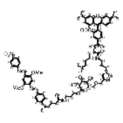 COc1cc(/N=N/c2ccc([N+](=O)[O-])cc2)c(OC)cc1/N=N/c1ccc(N(C)CCCC(=O)NCCCO[C@@H]2O[C@H](COCc3cn(CCCNC(=O)[C@H](CCCCN(C)C)NC(=O)c4ccc(-c5c6ccc(=[N+](C)C)cc-6oc6cc(N(C)C)ccc56)c(C(=O)[O-])c4)nn3)[C@@H](O)[C@H](O)[C@H]2O)cc1